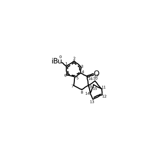 CCC(C)c1ccc2c(c1)CCC1(CC3C=CC1C3)C2=O